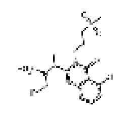 C[C](C)CN(C(=O)O)C(C)c1nc2cccc(Cl)c2c(=O)n1CCCS(C)(=O)=O